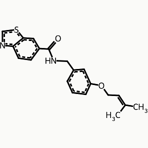 CC(C)=CCOc1cccc(CNC(=O)c2ccc3ncsc3c2)c1